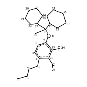 CCCCc1ccc(OC(C)(C2CCCCC2)C2CCCCC2)c(F)c1F